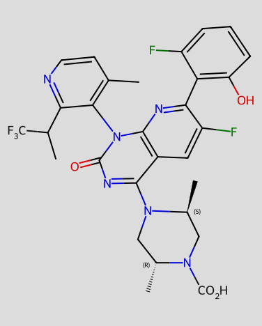 Cc1ccnc(C(C)C(F)(F)F)c1-n1c(=O)nc(N2C[C@@H](C)N(C(=O)O)C[C@@H]2C)c2cc(F)c(-c3c(O)cccc3F)nc21